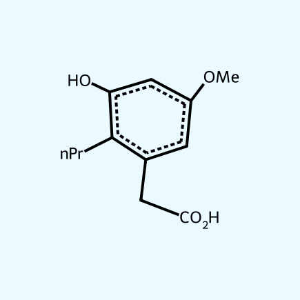 CCCc1c(O)cc(OC)cc1CC(=O)O